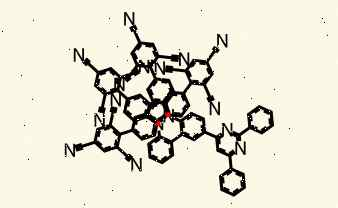 N#Cc1cc(C#N)c(-c2ccc3c(c2)c2cc(-c4c(C#N)cc(C#N)cc4C#N)ccc2n3-c2ccccc2-c2cc(-c3cc(-c4ccccc4)nc(-c4ccccc4)n3)ccc2-n2c3ccc(-c4c(C#N)cc(C#N)cc4C#N)cc3c3cc(-c4c(C#N)cc(C#N)cc4C#N)ccc32)c(C#N)c1